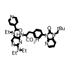 CCN(CC)c1ncc(N(CC)C(=O)c2ccncc2)c(N[C@@H](Cc2ccc(-n3c(=O)n(CC(C)(C)C)c4cccnc43)cc2)C(=O)O)n1